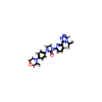 CC1COCCN1c1ccc(N2CCN(c3cccc(-c4nncn4C(C)C)n3)C2=O)cc1